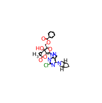 CC(=O)O[C@H]1[C@H](n2ncc3c(N4C[C@H]5CCC[C@H]5C4)nc(Cl)nc32)O[C@H](COC(=O)c2ccccc2)[C@]1(O)C1CC1